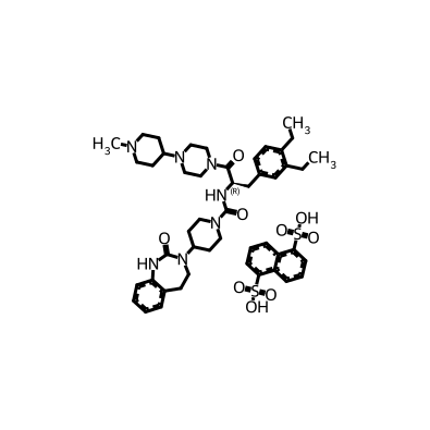 CCc1ccc(C[C@@H](NC(=O)N2CCC(N3CCc4ccccc4NC3=O)CC2)C(=O)N2CCN(C3CCN(C)CC3)CC2)cc1CC.O=S(=O)(O)c1cccc2c(S(=O)(=O)O)cccc12